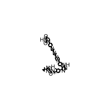 Cc1cc(-c2ncnc3[nH]c4cc(N5CCN(C6CN(C7CN(c8ccc(N9CCC(=O)NC9=O)cc8)C7)C6)CC5)ccc4c23)ccc1[C@@H](C)NC(=O)c1nc(C2(C)CC2)no1